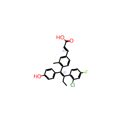 CC/C(=C(\c1ccc(O)cc1)c1ccc(/C=C/C(=O)O)cc1C)c1ccc(F)cc1Cl